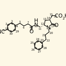 N#Cc1ccc(CCCC(=O)NC[C@@H]2C[C@@H](CC(=O)O)C(=O)N2CCCc2ccccc2)cc1